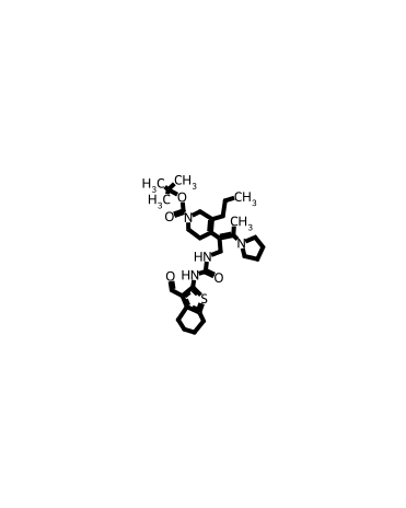 CCCC1=C(/C(CNC(=O)Nc2sc3c(c2C=O)CCCC3)=C(\C)N2CCCC2)CCN(C(=O)OC(C)(C)C)C1